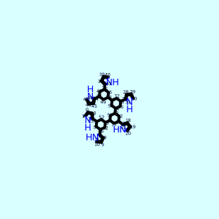 c1c[nH]c(C2CC(c3ccc[nH]3)CC(C3CC(c4ccc[nH]4)CC(C4CC(c5ccc[nH]5)CC(C5CC(c6ccc[nH]6)CC(c6ccc[nH]6)C5)C4)C3)C2)c1